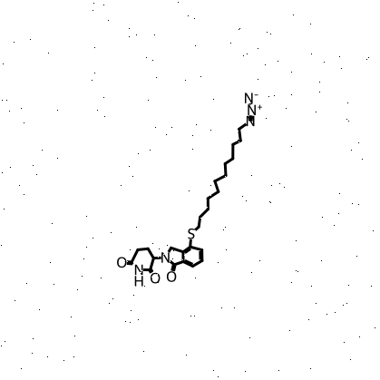 [N-]=[N+]=NCCCCCCCCCCCCSc1cccc2c1CN(C1CCC(=O)NC1=O)C2=O